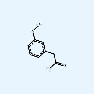 O=C(Cl)Cc1cccc(SBr)c1